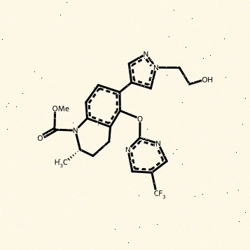 COC(=O)N1c2ccc(-c3cnn(CCO)c3)c(Oc3ncc(C(F)(F)F)cn3)c2CC[C@@H]1C